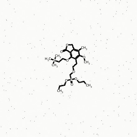 CCCOP(=O)(COCCc1c(OC)c(C)c2c(c1OCC[Si](C)(C)C)C(=O)OC2)OCCC